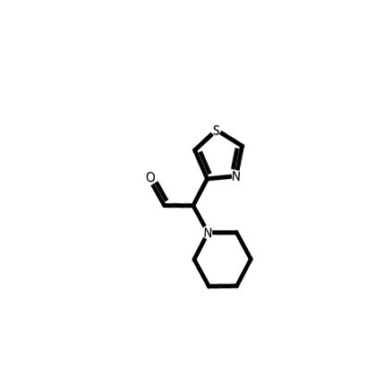 O=CC(c1cscn1)N1CCCCC1